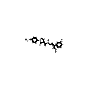 Nc1ccc(N2CCC(C(=O)NCCc3c[nH]c4ccc(Cl)cc34)C2=O)cc1